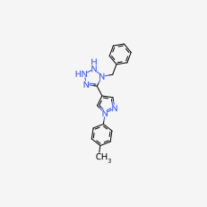 Cc1ccc(-n2cc(C3=NNNN3Cc3ccccc3)cn2)cc1